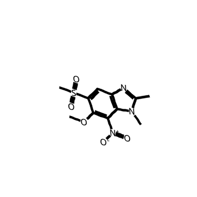 COc1c(S(C)(=O)=O)cc2nc(C)n(C)c2c1[N+](=O)[O-]